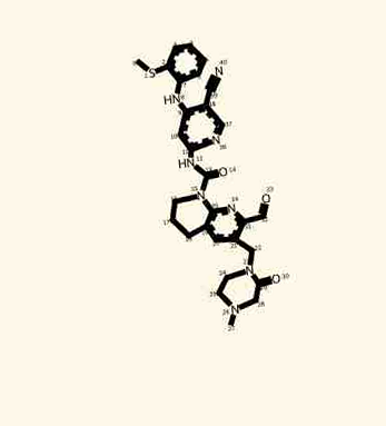 CSc1ccccc1Nc1cc(NC(=O)N2CCCc3cc(CN4CCN(C)CC4=O)c(C=O)nc32)ncc1C#N